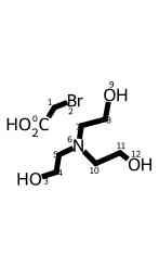 O=C(O)CBr.OCCN(CCO)CCO